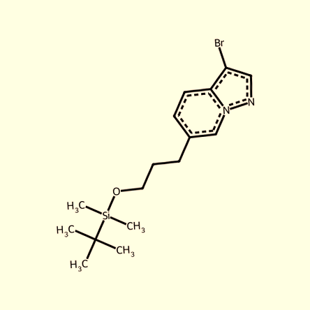 CC(C)(C)[Si](C)(C)OCCCc1ccc2c(Br)cnn2c1